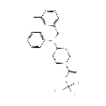 CC(C)(C)OC(=O)N1CCC(N(Cc2cccc(Cl)c2)c2ccccc2)CC1